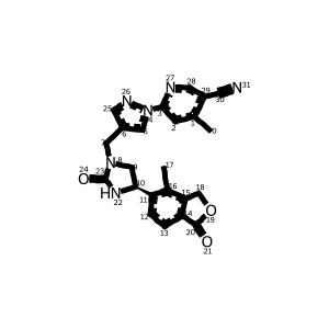 Cc1cc(-n2cc(CN3C[C@@H](c4ccc5c(c4C)COC5=O)NC3=O)cn2)ncc1C#N